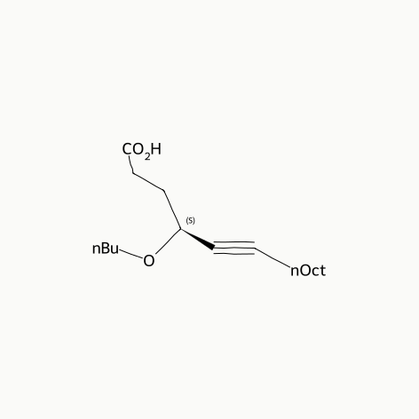 CCCCCCCCC#C[C@H](CCC(=O)O)OCCCC